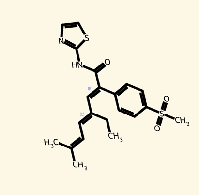 CCC(=C\C=C(C)C)/C=C(/C(=O)Nc1nccs1)c1ccc(S(C)(=O)=O)cc1